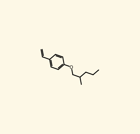 C=Cc1ccc(OCC(C)CCC)cc1